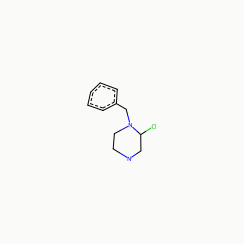 ClC1C[N]CCN1Cc1ccccc1